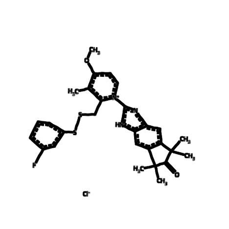 COc1cc[n+](-c2nc3cc4c(cc3[nH]2)C(C)(C)C(=O)C4(C)C)c(CSSc2cccc(F)c2)c1C.[Cl-]